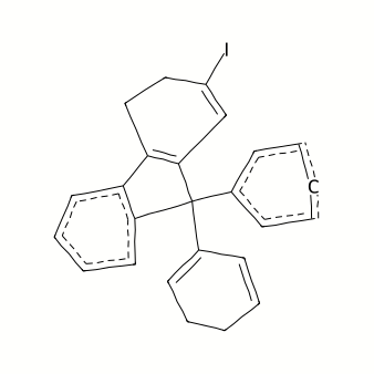 IC1=CC2=C(CC1)c1ccccc1C2(C1=CCCC=C1)c1ccccc1